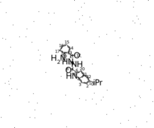 CC(C)c1ccc2[nH]c(C(=O)NNC(=O)c3ccccc3N)cc2c1